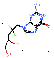 Nc1nc2c(ncn2CC(F)(F)CC(O)CO)c(=O)[nH]1